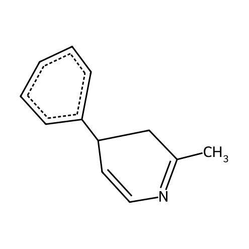 CC1=NC=CC(c2ccccc2)C1